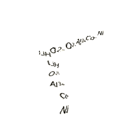 [Al+3].[Al+3].[Co].[Co].[LiH].[LiH].[Ni].[Ni].[O-2].[O-2].[O-2]